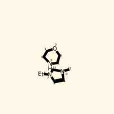 C1COCCN1.CCN1C=CN(C)C1